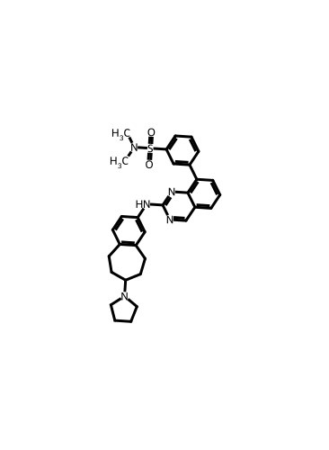 CN(C)S(=O)(=O)c1cccc(-c2cccc3cnc(Nc4ccc5c(c4)CCC(N4CCCC4)CC5)nc23)c1